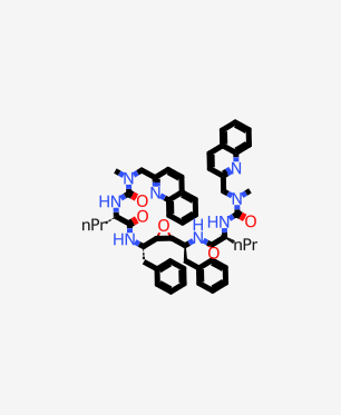 CCC[C@H](NC(=O)N(C)Cc1ccc2ccccc2n1)C(=O)N[C@@H](Cc1ccccc1)[C@@H]1O[C@@H]1[C@H](Cc1ccccc1)NC(=O)[C@H](CCC)NC(=O)N(C)Cc1ccc2ccccc2n1